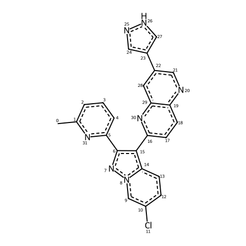 Cc1cccc(-c2nn3cc(Cl)ccc3c2-c2ccc3ncc(-c4cn[nH]c4)cc3n2)n1